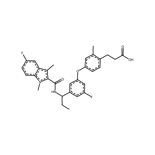 CCC(NC(=O)c1c(C)c2cc(F)ccc2n1C)c1cc(F)cc(Oc2ccc(CCC(=O)O)c(C)c2)c1